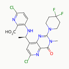 C[C@@H](Nc1ccc(Cl)nc1C(=O)O)c1cc(Cl)nc2c(=O)n(C)c(N3CCC(F)(F)CC3)nc12